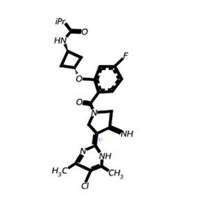 CC1=N/C(=C2\CN(C(=O)c3ccc(F)cc3O[C@H]3C[C@H](NC(=O)C(C)C)C3)CC2=N)NC(C)=C1Cl